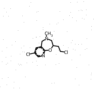 CN1Cc2cc(Cl)cnc2OC(CCCl)C1